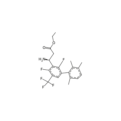 CCOC(=O)C[C@H](N)c1c(F)c(-c2c(C)ccc(C)c2C)cc(C(F)(F)F)c1F